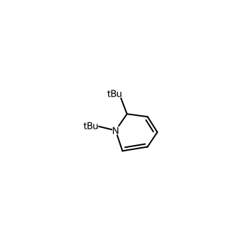 CC(C)(C)C1C=CC=CN1C(C)(C)C